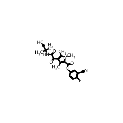 C#CC(C)(C)NC(=O)C(=O)c1c(C)c(C(=O)Nc2ccc(F)c(C#N)c2)n(C)c1C